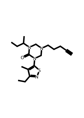 C#CCCCN1CN(c2snc(CC)c2C)C(=O)N(C(C)CC)C1